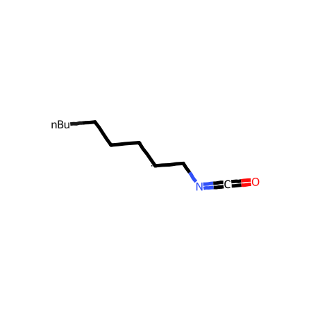 [CH2]CCCCCC[CH]CN=C=O